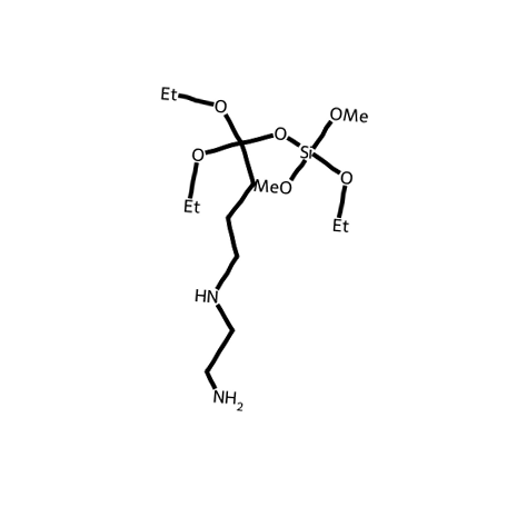 CCOC(CCCNCCN)(OCC)O[Si](OC)(OC)OCC